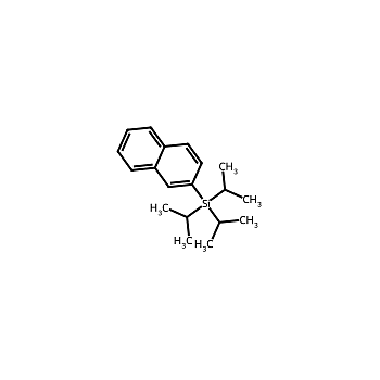 CC(C)[Si](c1ccc2ccccc2c1)(C(C)C)C(C)C